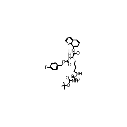 CC(C)(C)OC(=O)NS(=O)(=O)NCCCC[C@H](NC(=O)OCc1ccc(F)cc1)C(=O)Nc1cccc2cccnc12